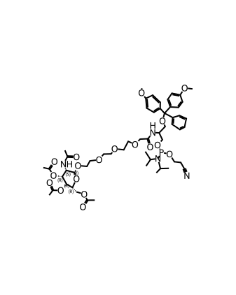 COc1ccc(C(OCC(COP(OCCC#N)N(C(C)C)C(C)C)NC(=O)COCCOCCOCCO[C@@H]2O[C@H](COC(C)=O)[C@H](OC(C)=O)[C@H](OC(C)=O)[C@@H]2NC(C)=O)(c2ccccc2)c2ccc(OC)cc2)cc1